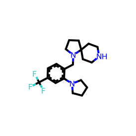 FC(F)(F)c1ccc(CN2CCCC23CCNCC3)c(N2CCCC2)c1